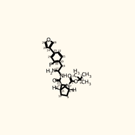 CC(C)(C)OC(=O)N1[C@@H]2CC[C@@H](C2)[C@H]1C(=O)NC(N)Cc1ccc(-c2ccoc2)cc1F